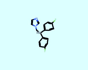 Fc1ccc([SiH](Cn2ccnc2)c2ccc(F)cc2)cc1